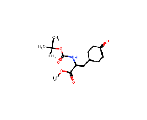 COC(=O)C(CC1CCC(=O)CC1)NC(=O)OC(C)(C)C